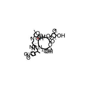 CC[C@H]1OC(=O)[C@H](C)[C@@H](O[C@H]2C[C@@](C)(OC)[C@@H](O)[C@H](C)O2)[C@H](C)[C@@H](O[C@@H]2O[C@H](C)C[C@H](N(C)CCc3cn(CC(C)c4ccc([N+](=O)[O-])cc4)nn3)[C@H]2O)[C@](C)(O)C[C@@H](C)CN(C)[C@H](C)[C@@H](O)[C@]1(C)O